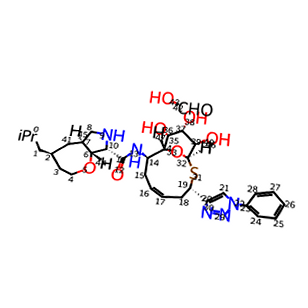 CC(C)C[C@@H]1CCO[C@@H]2[C@H](CN[C@@H]2C(=O)N[C@@H]2CC=CC[C@@H](c3cn(-c4ccccc4)nn3)S[C@H]3O[C@H]2[C@H](O)[C@H](O)[C@H]3O)C1.O=CO